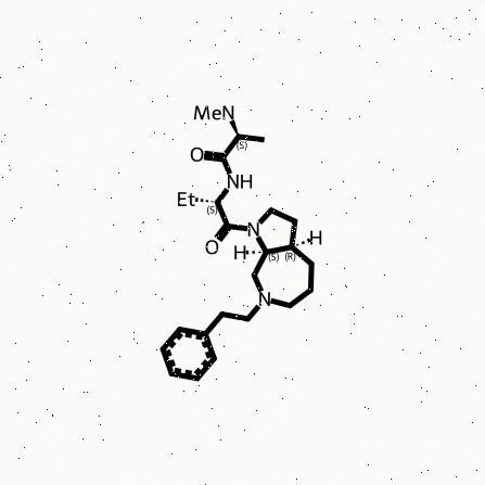 CC[C@H](NC(=O)[C@H](C)NC)C(=O)N1CC[C@H]2CCCN(CCc3ccccc3)C[C@H]21